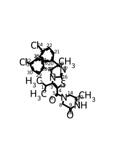 CC(C)C1=C(C(=O)N2CC(=O)N[C@@H](C)C2)SC2=N[C@@](C)(c3ccc(Cl)cc3)[C@@H](c3ccc(Cl)cc3)N21